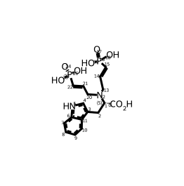 O=C(O)[C@H](Cc1c[nH]c2ccccc12)N(CC=CP(=O)(O)O)CC=CP(=O)(O)O